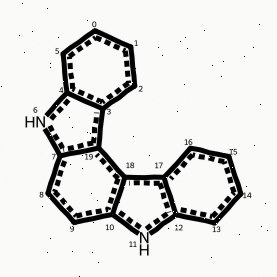 c1ccc2c(c1)[nH]c1ccc3[nH]c4ccccc4c3c12